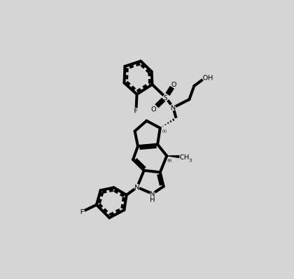 C[C@H]1C2=CNN(c3ccc(F)cc3)C2=CC2=C1[C@@H](CN(CCO)S(=O)(=O)c1ccccc1F)CC2